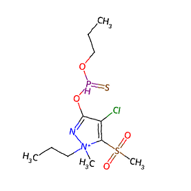 CCCO[PH](=S)OC1=N[N+](C)(CCC)C(S(C)(=O)=O)=C1Cl